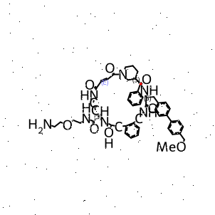 COCc1ccc(-c2ccc(C[C@@H]3NC(=O)[C@]4(Cc5ccccc5)CCCN(C4)C(=O)/C=C/C(=O)NCC[C@@H](C(=O)NCCOCCN)NC(O)Cc4ccccc4CNC3=O)cc2)cc1